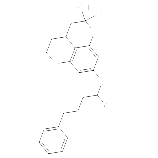 CC(CCCc1ccccc1)Oc1cc2c3c(c1)OC(C)(C)CC3CCO2